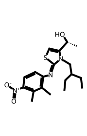 CCC(CC)Cn1c([C@@H](C)O)csc1=Nc1ccc([N+](=O)[O-])c(C)c1C